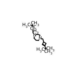 CC(C)(C)OCCN1CCCN(CC2C=C(C(C)(C)C)C2)CC1